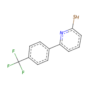 FC(F)(F)c1ccc(-c2cccc(S)n2)cc1